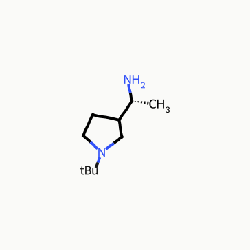 C[C@@H](N)C1CCN(C(C)(C)C)C1